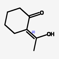 C/C(O)=C1\CCCCC1=O